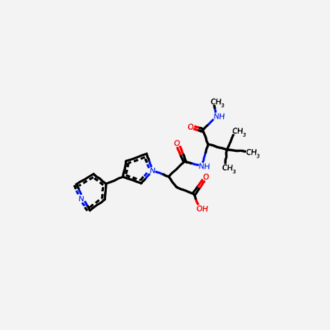 CNC(=O)C(NC(=O)C(CC(=O)O)n1ccc(-c2ccncc2)c1)C(C)(C)C